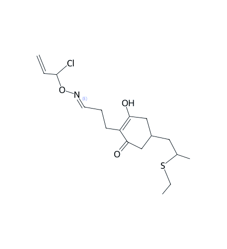 C=CC(Cl)O/N=C/CCC1=C(O)CC(CC(C)SCC)CC1=O